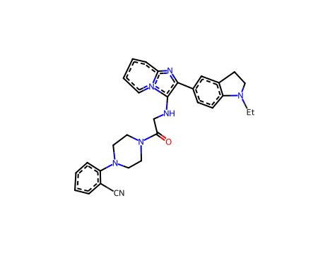 CCN1CCc2cc(-c3nc4ccccn4c3NCC(=O)N3CCN(c4ccccc4C#N)CC3)ccc21